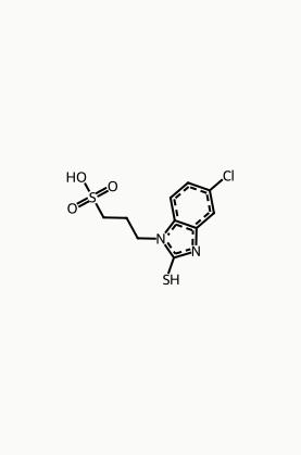 O=S(=O)(O)CCCn1c(S)nc2cc(Cl)ccc21